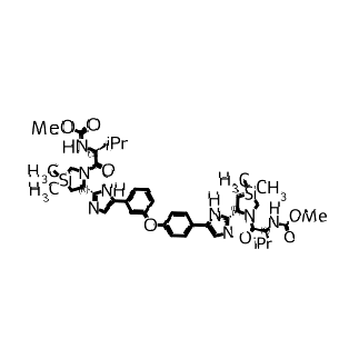 COC(=O)N[C@H](C(=O)N1C[Si](C)(C)C[C@H]1c1ncc(-c2ccc(Oc3cccc(-c4cnc([C@@H]5C[Si](C)(C)CN5C(=O)[C@@H](NC(=O)OC)C(C)C)[nH]4)c3)cc2)[nH]1)C(C)C